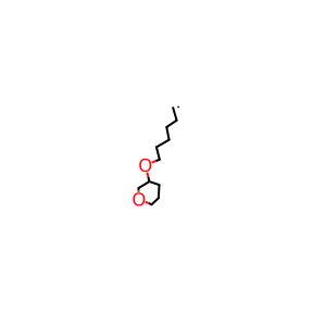 [CH2]CCCCCOC1CCCOC1